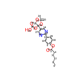 CCCCCC(=O)Oc1ccc(-c2ncc([C@@]3(OC(=O)O)COC(C)(C)O3)cn2)cc1